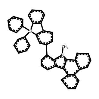 Cn1c2c(-c3ccc4c(c3)[Si](c3ccccc3)(c3ccccc3)c3ccccc3-4)cccc2c2c3ccccc3c3ccccc3c21